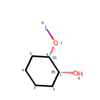 O[C@@H]1CCCC[C@@H]1OI